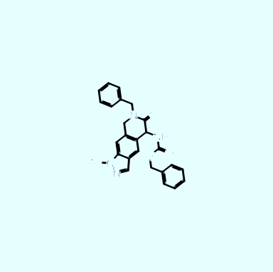 CC(=O)n1ncc2cc3c(cc21)CN(Cc1ccccc1)C(=O)C3NC(=O)OCc1ccccc1